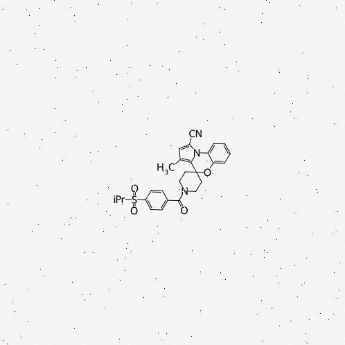 Cc1cc(C#N)n2c1C1(CCN(C(=O)c3ccc(S(=O)(=O)C(C)C)cc3)CC1)Oc1ccccc1-2